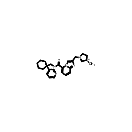 C[C@@H]1CCN(Cc2cn3c(C(=O)NCC4(c5cccnc5)CCCCC4)cccc3n2)C1